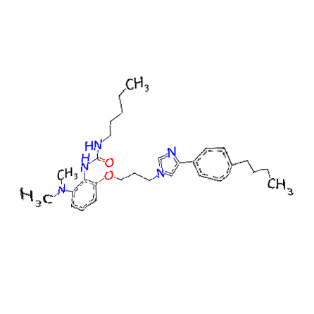 CCCCCNC(=O)Nc1c(OCCCn2cnc(-c3ccc(CCCC)cc3)c2)cccc1N(C)C